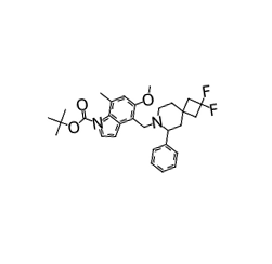 COc1cc(C)c2c(ccn2C(=O)OC(C)(C)C)c1CN1CCC2(CC1c1ccccc1)CC(F)(F)C2